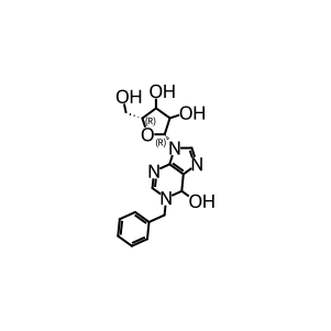 OC[C@H]1O[C@@H](n2cnc3c2N=CN(Cc2ccccc2)C3O)C(O)C1O